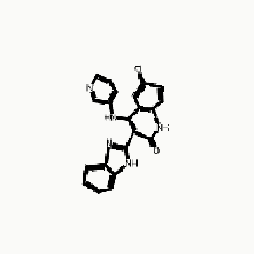 O=c1[nH]c2ccc(Cl)cc2c(Nc2cccnc2)c1-c1nc2ccccc2[nH]1